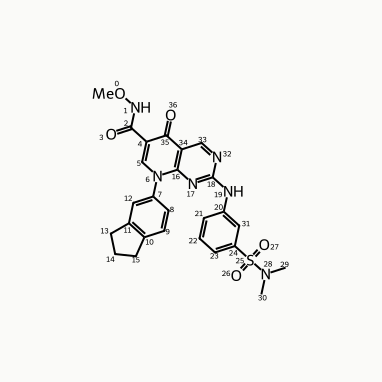 CONC(=O)c1cn(-c2ccc3c(c2)CCC3)c2nc(Nc3cccc(S(=O)(=O)N(C)C)c3)ncc2c1=O